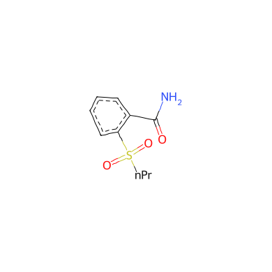 CCCS(=O)(=O)c1ccccc1C(N)=O